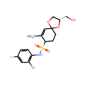 O=C(O)C1=CC2(CCC1S(=O)(=O)Nc1ccc(F)cc1Cl)OC[C@H](CO)O2